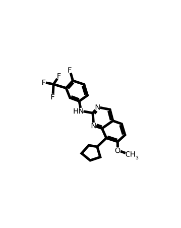 COc1ccc2cnc(Nc3ccc(F)c(C(F)(F)F)c3)nc2c1C1CCCC1